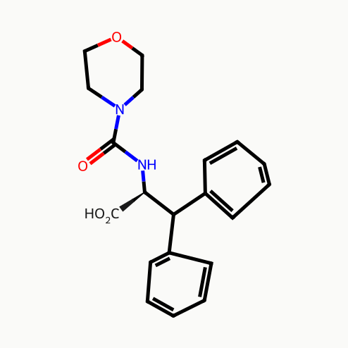 O=C(O)[C@@H](NC(=O)N1CCOCC1)C(c1ccccc1)c1ccccc1